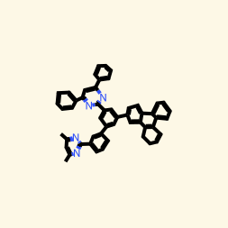 Cc1cc(C)nc(-c2cccc(-c3cc(-c4ccc5c(c4)c4c(c6ccccc65)C=CCC4)cc(-c4nc(-c5ccccc5)cc(-c5ccccc5)n4)c3)c2)n1